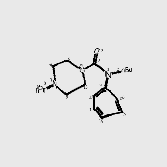 CCCCN(C(=O)N1CCN(C(C)C)CC1)c1ccccc1